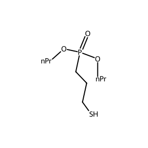 CCCOP(=O)(CCCS)OCCC